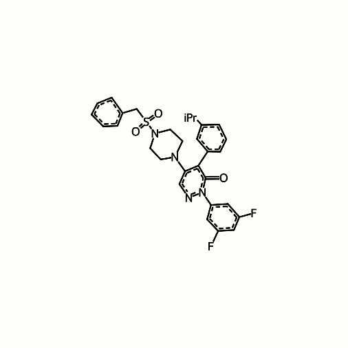 CC(C)c1cccc(-c2c(N3CCN(S(=O)(=O)Cc4ccccc4)CC3)cnn(-c3cc(F)cc(F)c3)c2=O)c1